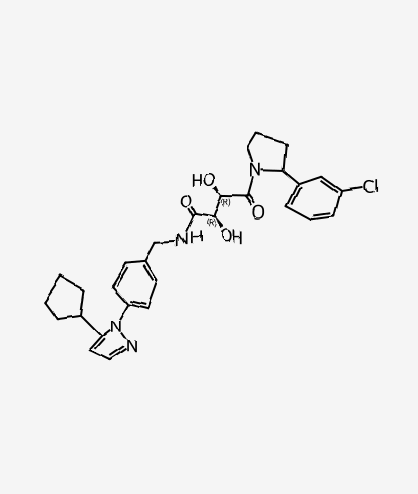 O=C(NCc1ccc(-n2nccc2C2CCCC2)cc1)[C@H](O)[C@@H](O)C(=O)N1CCCC1c1cccc(Cl)c1